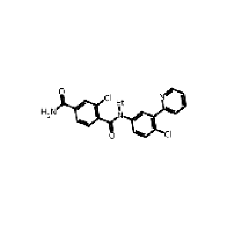 CCN(C(=O)c1ccc(C(N)=O)cc1Cl)c1ccc(Cl)c(-c2ccccn2)c1